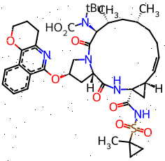 C[C@@H]1CC/C=C\[C@@H]2C[C@@]2(C(=O)NS(=O)(=O)C2(C)CC2)NC(=O)[C@@H]2C[C@@H](Oc3nc4c(c5ccccc35)OCCC4)CN2C(=O)[C@@H](N(C(=O)O)C(C)(C)C)[C@H](C)C1